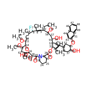 CCC1/C=C(\C)C(F)C(C)CC(OC)C2OC(O)(C(=O)C(=O)N3CCCCC3C(=O)OC(C(C)=CC3CCC(O)C(Oc4ccc5ccccc5c4)C3)C(C)C(O)CC1=O)C(C)CC2OC